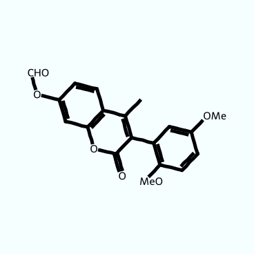 COc1ccc(OC)c(-c2c(C)c3ccc(OC=O)cc3oc2=O)c1